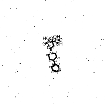 O=P(O)(O)C(O)(CCN1CCC(c2cccnc2)CC1)P(=O)(O)O